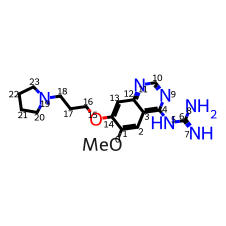 COc1cc2c(NC(=N)N)ncnc2cc1OCCCN1CCCC1